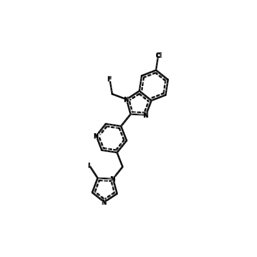 FCn1c(-c2cncc(Cn3cncc3I)c2)nc2ccc(Cl)cc21